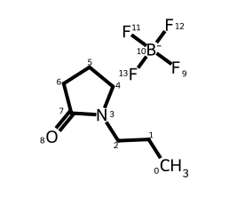 CCCN1CCCC1=O.F[B-](F)(F)F